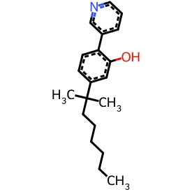 CCCCCCC(C)(C)c1ccc(-c2cccnc2)c(O)c1